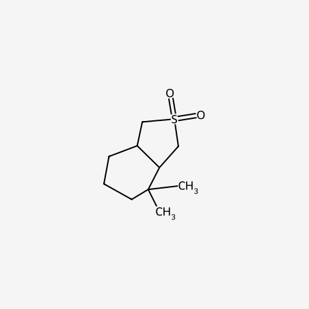 CC1(C)CCCC2CS(=O)(=O)CC21